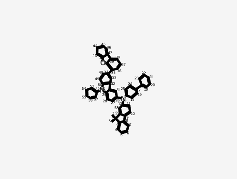 CC1(C)c2ccccc2-c2ccc(N(c3ccc(-c4ccccc4)cc3)c3ccc4c(c3)c3cc(-c5cccc6c5oc5ccccc56)ccc3n4-c3ccccc3)cc21